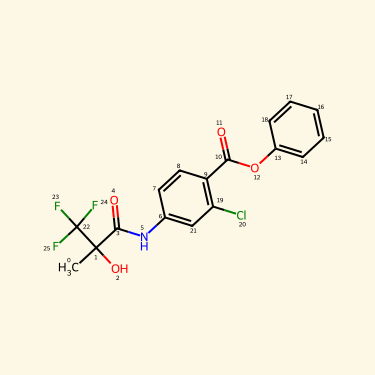 CC(O)(C(=O)Nc1ccc(C(=O)Oc2ccccc2)c(Cl)c1)C(F)(F)F